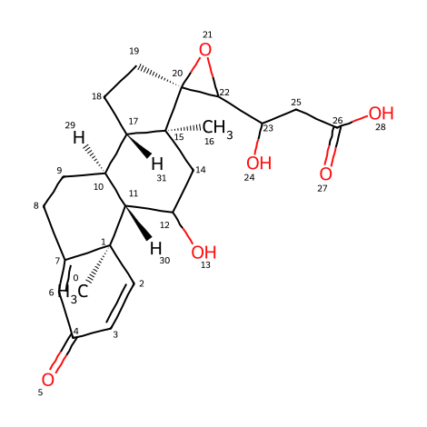 C[C@]12C=CC(=O)C=C1CC[C@@H]1[C@@H]2C(O)C[C@@]2(C)[C@H]1CC[C@@]21OC1C(O)CC(=O)O